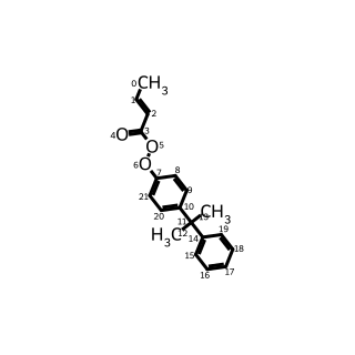 CC=CC(=O)OOc1ccc(C(C)(C)c2ccccc2)cc1